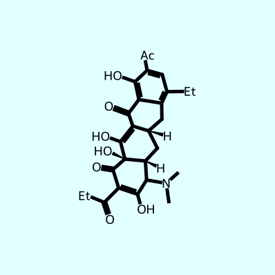 CCC(=O)C1=C(O)C(N(C)C)[C@H]2C[C@H]3Cc4c(CC)cc(C(C)=O)c(O)c4C(=O)C3=C(O)[C@@]2(O)C1=O